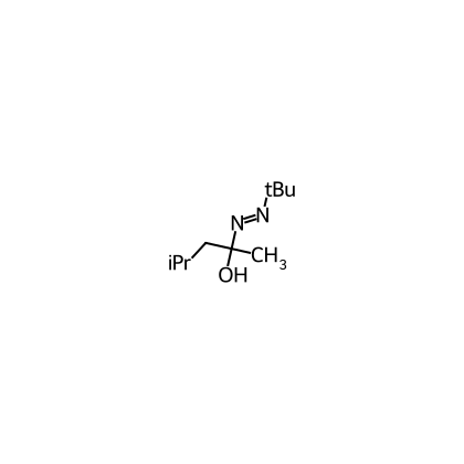 CC(C)CC(C)(O)/N=N/C(C)(C)C